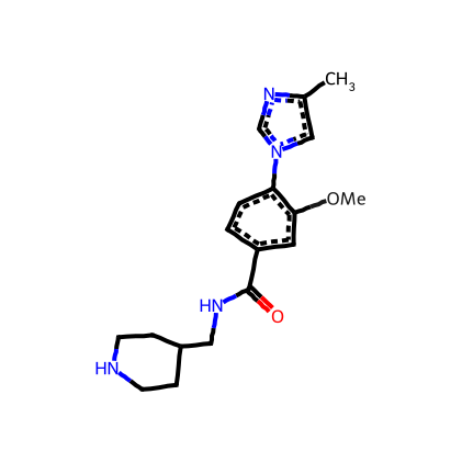 COc1cc(C(=O)NCC2CCNCC2)ccc1-n1cnc(C)c1